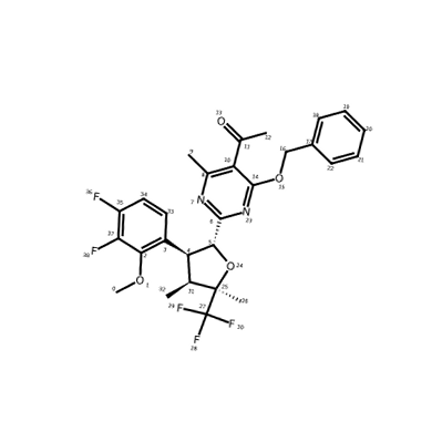 COc1c([C@H]2[C@H](c3nc(C)c(C(C)=O)c(OCc4ccccc4)n3)O[C@@](C)(C(F)(F)F)[C@H]2C)ccc(F)c1F